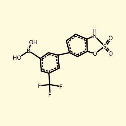 O=S1(=O)Nc2ccc(-c3cc(B(O)O)cc(C(F)(F)F)c3)cc2O1